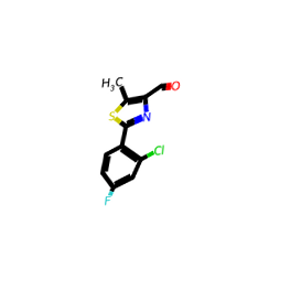 Cc1sc(-c2ccc(F)cc2Cl)nc1C=O